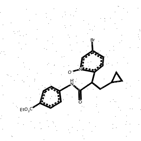 CCOC(=O)c1ccc(NC(=O)C(CC2CC2)c2ccc(Br)c[n+]2[O-])cc1